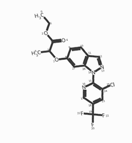 CCOC(=O)C(C)Oc1ccc2cnn(-c3ncc(C(F)(F)F)cc3Cl)c2c1